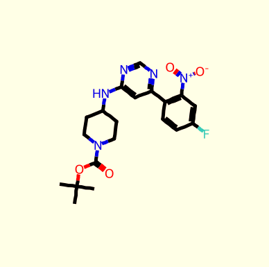 CC(C)(C)OC(=O)N1CCC(Nc2cc(-c3ccc(F)cc3[N+](=O)[O-])ncn2)CC1